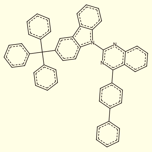 c1ccc(-c2ccc(-c3nc(-n4c5ccccc5c5cc(C(c6ccccc6)(c6ccccc6)c6ccccc6)ccc54)nc4ccccc34)cc2)cc1